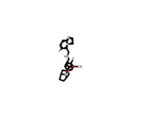 N#Cc1cc(N2C3CCC2CN(C(=O)CCNCc2c(F)ccc4nccn24)C3)ccc1F